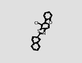 Clc1c2sc(-c3ccc4ccccc4c3)nc2cc2oc3ccccc3c12